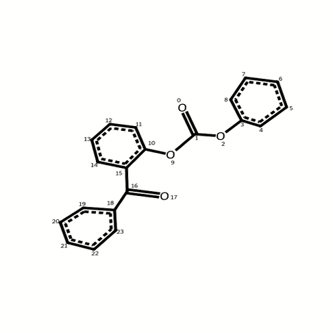 O=C(Oc1ccccc1)Oc1ccccc1C(=O)c1ccccc1